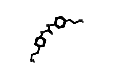 NCCc1ccc(NC(=S)Nc2ccc(CCN)cc2)cc1